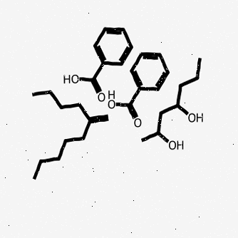 C=C(CCCC)CCCCC.CCCC(O)CC(C)O.O=C(O)c1ccccc1.O=C(O)c1ccccc1